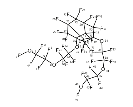 FOC(F)(F)C(F)(F)OC(F)(F)C(F)(F)OC12C(F)(F)C3(F)C(F)(F)C(F)(C1(F)F)C(F)(F)C(OC(F)(F)C(F)(F)OC(F)(F)C(F)(F)OF)(C3(F)F)C2(F)F